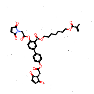 C=C(C)C(=O)OCCCCCCCOC(=O)c1cc(-c2ccc(OC(=O)CC3C(=O)C=CC3=O)cc2)ccc1OC(=O)CN1C(=O)C=CC1=O